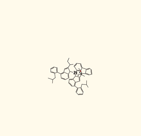 CCC(C)C1=Cc2c(-c3ccccc3CC(C)C)cccc2[CH]1[Zr]([c]1cccc2c1[SiH2]c1ccccc1-2)[CH]1C(C(C)CC)=Cc2c(-c3ccccc3CC(C)C)cccc21